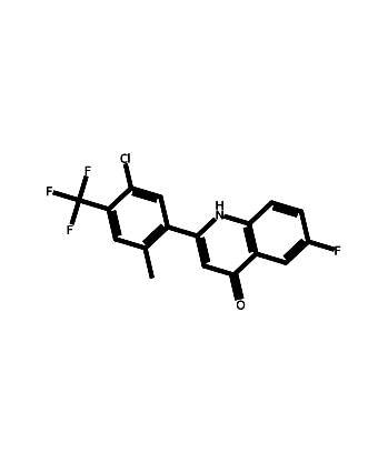 Cc1cc(C(F)(F)F)c(Cl)cc1-c1cc(=O)c2cc(F)ccc2[nH]1